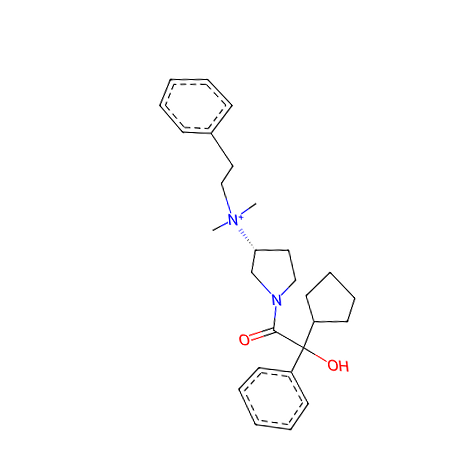 C[N+](C)(CCc1ccccc1)[C@@H]1CCN(C(=O)C(O)(c2ccccc2)C2CCCC2)C1